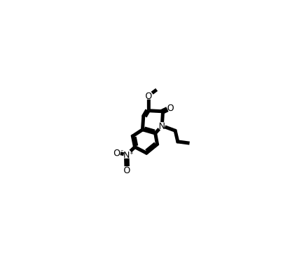 CCCn1c(=O)c(OC)cc2cc([N+](=O)[O-])ccc21